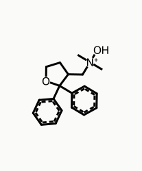 C[N+](C)(O)CC1CCOC1(c1ccccc1)c1ccccc1